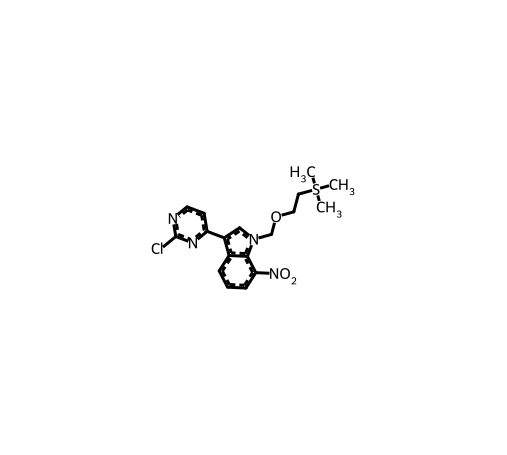 CS(C)(C)CCOCn1cc(-c2ccnc(Cl)n2)c2cccc([N+](=O)[O-])c21